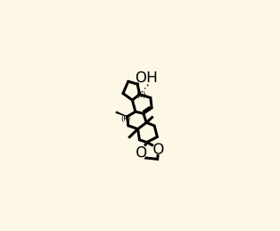 C[C@@H]1CC2(C)CC3(CCC2(C)C2=CC[C@]4(C)C(O)CCC4C21)OCCO3